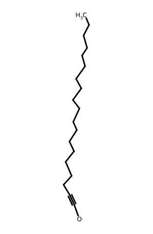 CCCCCCCCCCCCCCCCCC#C[O]